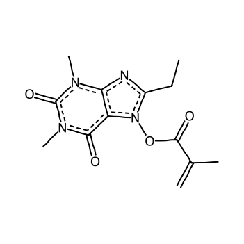 C=C(C)C(=O)On1c(CC)nc2c1c(=O)n(C)c(=O)n2C